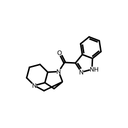 O=C(c1n[nH]c2ccccc12)N1C2CC3C1CCCN3C2